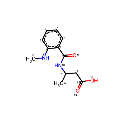 CNc1ccccc1C(=O)NC(C)CC(=O)O